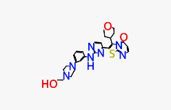 O=c1ccnc2sc(-c3ccnc(Nc4cccc(N5CCN(CCO)CC5)c4)n3)c(C3CCOCC3)n12